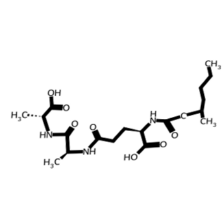 CCCCC(C)CC(=O)N[C@H](CCC(=O)N[C@@H](C)C(=O)N[C@H](C)C(=O)O)C(=O)O